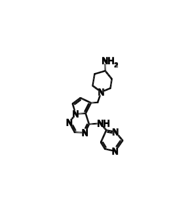 NC1CCN(Cc2ccn3ncnc(Nc4ccncn4)c23)CC1